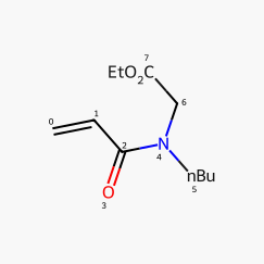 C=CC(=O)N(CCCC)CC(=O)OCC